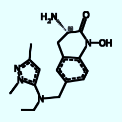 CCN(Cc1ccc2c(c1)C[C@H](N)C(=O)N2O)c1cc(C)nn1C